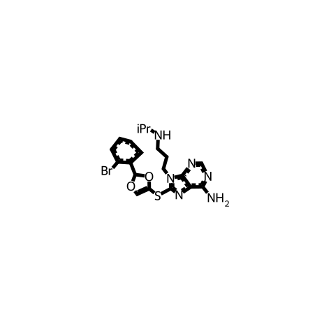 CC(C)NCCCn1c(SC2=COC(c3ccccc3Br)O2)nc2c(N)ncnc21